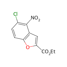 CCOC(=O)c1cc2c([N+](=O)[O-])c(Cl)ccc2o1